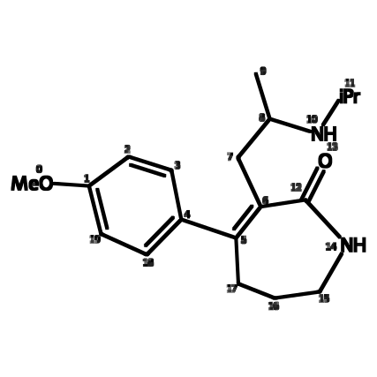 COc1ccc(C2=C(CC(C)NC(C)C)C(=O)NCCC2)cc1